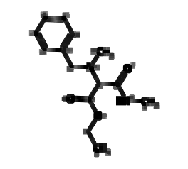 CCOC(=O)C(C(=O)NC)N(C)Cc1ccccc1